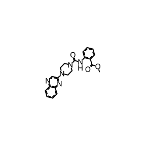 COC(=O)c1ccccc1NC(=O)N1CCN(c2cnc3ccccc3n2)CC1